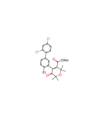 CCc1ccc(-c2ccc(Cl)cc2Cl)cc1C1=C(C(=O)OC)C(C)(C)OC(C)(C)C1=O